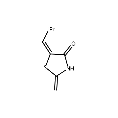 C=c1[nH]c(=O)/c(=C\C(C)C)s1